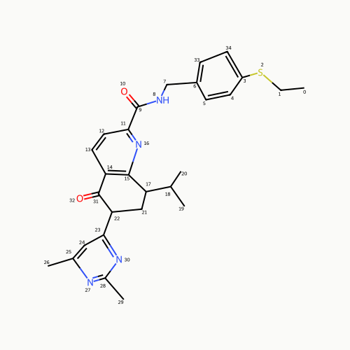 CCSc1ccc(CNC(=O)c2ccc3c(n2)C(C(C)C)CC(c2cc(C)nc(C)n2)C3=O)cc1